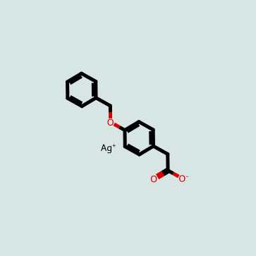 O=C([O-])Cc1ccc(OCc2ccccc2)cc1.[Ag+]